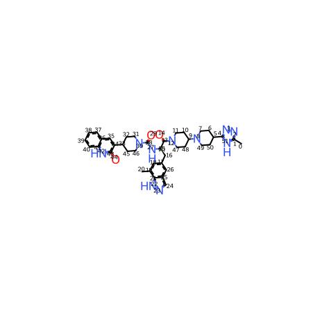 Cc1nnc(C2CCN(C3CCN(C(=O)[C@@H](Cc4cc(C)c5[nH]ncc5c4)NC(=O)N4CCC(c5cc6ccccc6[nH]c5=O)CC4)CC3)CC2)[nH]1